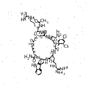 CC(=O)N[C@@H](CCCNC(=N)N)C(=O)N[C@H]1CCC(=O)NCCC[C@@H](C(N)=O)NC(=O)[C@H](Cc2c[nH]c3ccccc23)NC(=O)[C@H](CCCNC(=N)N)NC(=O)[C@@H](Cc2ccc(Cl)cc2Cl)NC(=O)[C@H](CCN)NC1=O